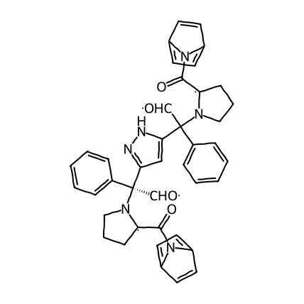 O=[C]C(c1ccccc1)(c1cc([C@]([C]=O)(c2ccccc2)N2CCC[C]2C(=O)n2c3ccc2cc3)n[nH]1)N1CCC[C]1C(=O)n1c2ccc1cc2